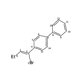 CCC=C(Br)c1ccc(-c2ccccc2)cc1